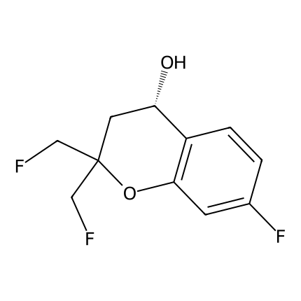 O[C@H]1CC(CF)(CF)Oc2cc(F)ccc21